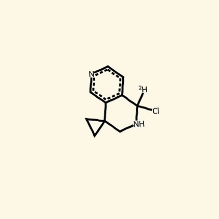 [2H]C1(Cl)NCC2(CC2)c2cnccc21